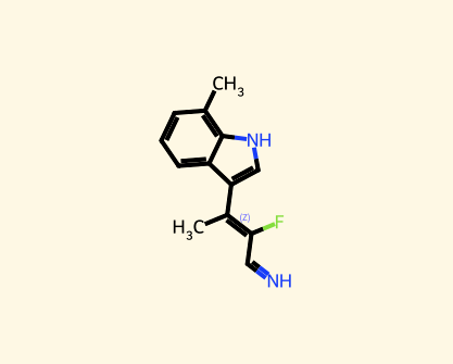 C/C(=C(/F)C=N)c1c[nH]c2c(C)cccc12